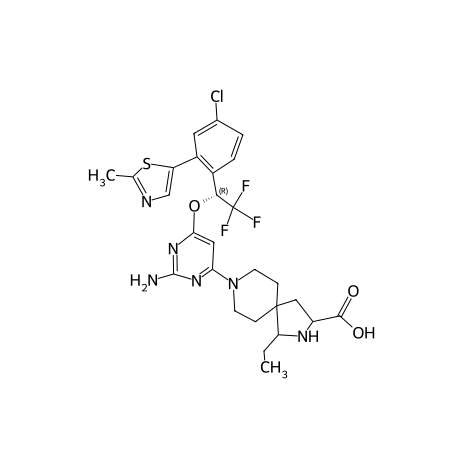 CCC1NC(C(=O)O)CC12CCN(c1cc(O[C@H](c3ccc(Cl)cc3-c3cnc(C)s3)C(F)(F)F)nc(N)n1)CC2